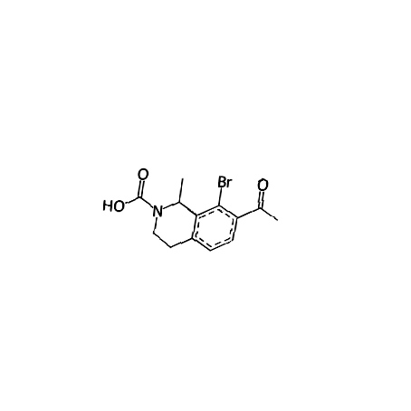 CC(=O)c1ccc2c(c1Br)C(C)N(C(=O)O)CC2